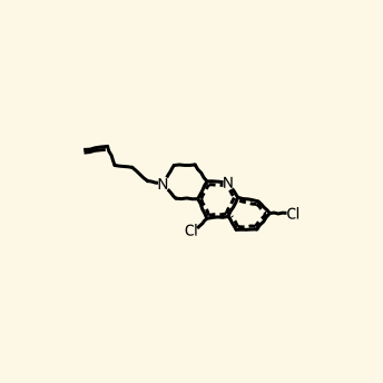 C=CCCCN1CCc2nc3cc(Cl)ccc3c(Cl)c2C1